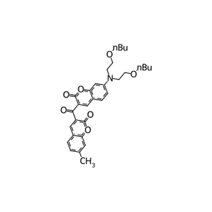 CCCCOCCN(CCOCCCC)c1ccc2cc(C(=O)c3cc4ccc(C)cc4oc3=O)c(=O)oc2c1